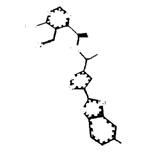 CC(NC(=O)c1ncnc(N)c1CN)c1cc(-c2nc3ccc(C(F)(F)F)cc3[nH]2)no1